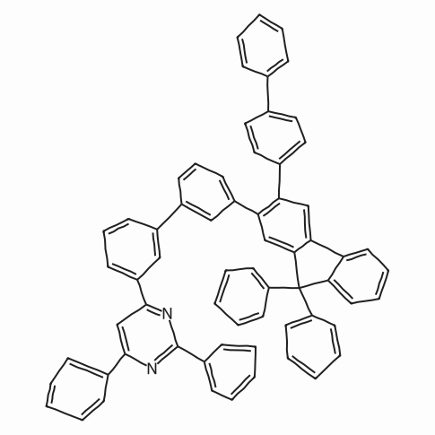 c1ccc(-c2ccc(-c3cc4c(cc3-c3cccc(-c5cccc(-c6cc(-c7ccccc7)nc(-c7ccccc7)n6)c5)c3)C(c3ccccc3)(c3ccccc3)c3ccccc3-4)cc2)cc1